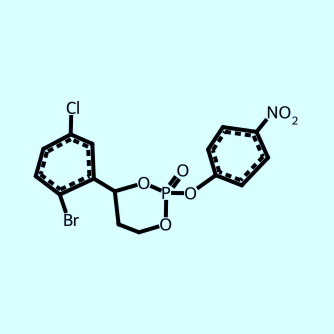 O=[N+]([O-])c1ccc(OP2(=O)OCCC(c3cc(Cl)ccc3Br)O2)cc1